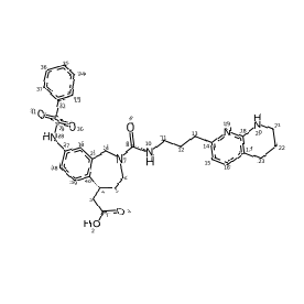 O=C(O)CC1CCN(C(=O)NCCCc2ccc3c(n2)NCCC3)Cc2cc(NS(=O)(=O)c3ccccc3)ccc21